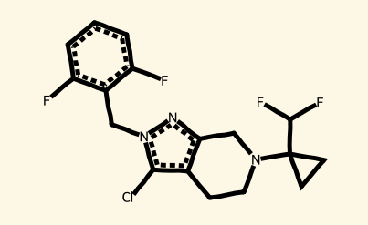 Fc1cccc(F)c1Cn1nc2c(c1Cl)CCN(C1(C(F)F)CC1)C2